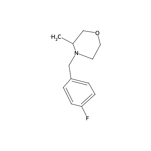 [CH2]C1COCCN1Cc1ccc(F)cc1